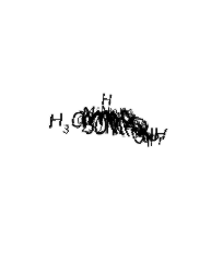 Cc1csc(CC(=O)Nc2cc([C@H]3CC[C@@H](OC(=O)NC(C)C)C3)[nH]n2)n1